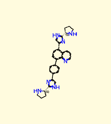 c1cnc2c(-c3ccc(-c4c[nH]c([C@@H]5CCCN5)n4)cc3)ccc(-c3c[nH]c([C@@H]4CCCN4)n3)c2c1